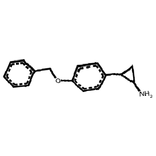 NC1CC1c1ccc(OCc2ccccc2)cc1